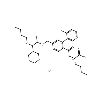 CCCCOC(C1CCCCC1)C(C)OCc1ccc(C(=O)N[C@@H](CCSC)C(=O)[O-])c(-c2ccccc2C)c1.[Li+]